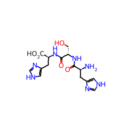 N[C@@H](Cc1c[nH]cn1)C(=O)N[C@@H](CO)C(=O)N[C@@H](Cc1c[nH]cn1)C(=O)O